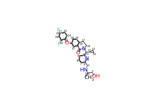 C[C@H](CO)NCc1cccc(C(C2CC2)N2CCc3ccc(Oc4ccc(F)cc4F)cc3C2=O)n1